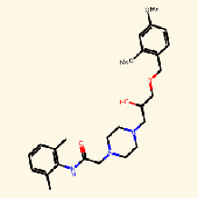 COc1ccc(COCC(O)CN2CCN(CC(=O)Nc3c(C)cccc3C)CC2)c(OC)c1